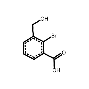 O=C(O)c1cccc(CO)c1Br